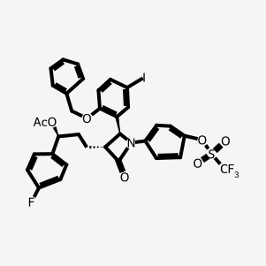 CC(=O)O[C@@H](CC[C@H]1C(=O)N(c2ccc(OS(=O)(=O)C(F)(F)F)cc2)[C@@H]1c1cc(I)ccc1OCc1ccccc1)c1ccc(F)cc1